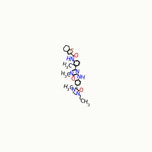 CCCN1CCN(C)[C@H](c2ccc(Nc3nc(-c4cccc(NC(=O)c5cc6c(s5)CCCC6)c4C)cn(C)c3=O)cc2)C1=O